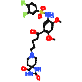 COc1cc(OC)c(C(=O)CCCCN2CCC3(CC2)NC(=O)NC3=O)cc1NS(=O)(=O)c1ccc(F)c(F)c1